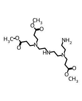 COC(=O)CCN(CCN)CCNCCN(CCC(=O)OC)CCC(=O)OC